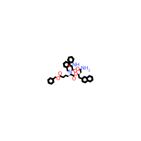 NC(=O)C[C@H](Cc1ccc2ccccc2c1)OC(=O)[C@H](CCCC(=O)OCc1ccccc1)N(Cc1ccccc1)C(=O)c1cc2ccccc2[nH]1